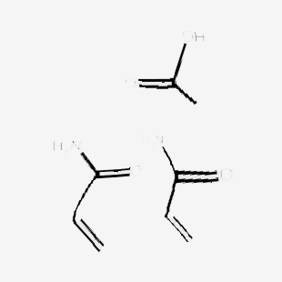 C=CC(N)=O.C=CC(N)=O.CC(=O)O